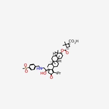 CC(C)C1=C2C3CC[C@@H]4[C@@]5(C)CC[C@H](OC(=O)[C@H]6C[C@@H](C(=O)O)C6(C)C)C(C)(C)[C@@H]5CC[C@@]4(C)[C@]3(C)CC[C@@]2([C@@H](O)CNCc2ccc(S(C)(=O)=O)cc2)CC1=O